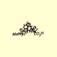 CNC(C)C(=O)NC1CCc2ccn3c2C1C(=O)CC(C(=O)NC(C)C(=O)O)C3